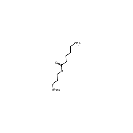 CCCCCOCCOC(=O)CCCCC(=O)O